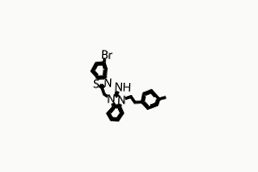 Cc1ccc(CCn2c(=N)n(Cc3nc4cc(Br)ccc4s3)c3ccccc32)cc1